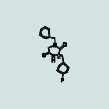 O=C1CN(Cc2ccccc2)C(=O)[C@@H](Cc2ccc(F)cc2)N1